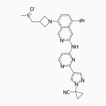 CC(C)c1ccc(N2CC(C[S+](C)[O-])C2)c2cnc(Nc3ccnc(-c4cnn(C5(C#N)CC5)c4)n3)cc12